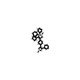 C[O+]1[CH-]C(c2ccccc2)=C(c2ccc(C3=C(c4ccccc4)[B-](c4ccccc4)(c4ccccc4)[O+](C)C3)cc2)C1